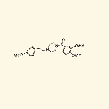 COc1ccc(CCN2CCN(C(=O)c3ccc(OC)c(OC)c3)CC2)cc1